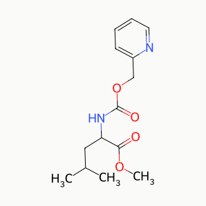 COC(=O)C(CC(C)C)NC(=O)OCc1ccccn1